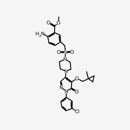 COC(=O)c1cc(CS(=O)(=O)N2CCN(c3cnn(-c4cccc(Cl)c4)c(=O)c3OCC3(C)CC3)CC2)ccc1N